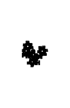 O=C(NC(=O)C1(COCc2ccccc2)CCCN1)C(c1ccccc1)C(F)(F)F